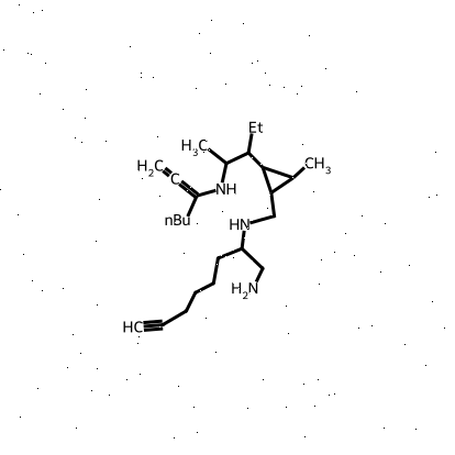 C#CCCCCC(CN)NCC1C(C)C1C(CC)C(C)NC(=C=C)CCCC